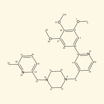 COc1cc(-c2cc(CN3CCN(Cc4cccc(C)n4)CC3)ccn2)cc(OC)c1OC